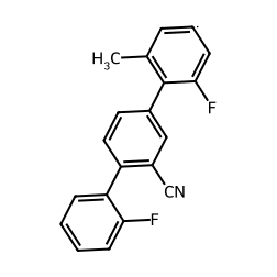 Cc1c[c]cc(F)c1-c1ccc(-c2ccccc2F)c(C#N)c1